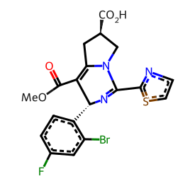 COC(=O)C1=C2C[C@@H](C(=O)O)CN2C(c2nccs2)=N[C@@H]1c1ccc(F)cc1Br